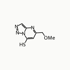 COCc1cc(S)n2nncc2n1